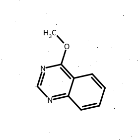 COc1n[c]nc2ccccc12